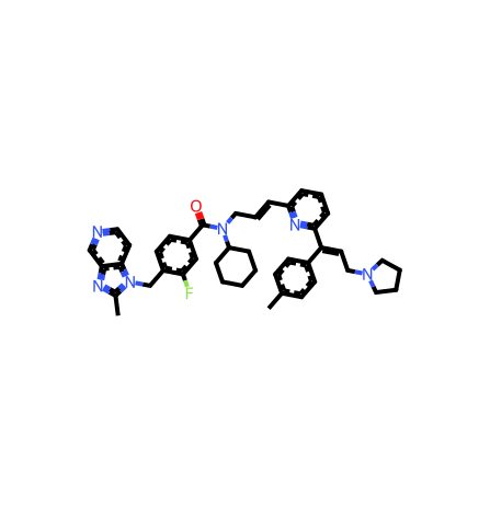 Cc1ccc(/C(=C\CN2CCCC2)c2cccc(/C=C/CN(C(=O)c3ccc(Cn4c(C)nc5cnccc54)c(F)c3)C3CCCCC3)n2)cc1